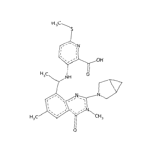 CSc1ccc(NC(C)c2cc(C)cc3c(=O)n(C)c(N4CC5CC5C4)nc23)c(C(=O)O)n1